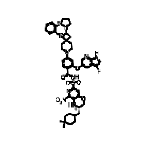 CC(C)c1ccccc1[C@@H]1CCCN1C1CC2(CCN(c3ccc(C(=O)NS(=O)(=O)c4cc5c(c([N+](=O)[O-])n4)N[C@@H](CC4CCC(C)(C)CC4)CO5)c(Oc4cnc5[nH]cc(F)c5c4)c3)CC2)C1